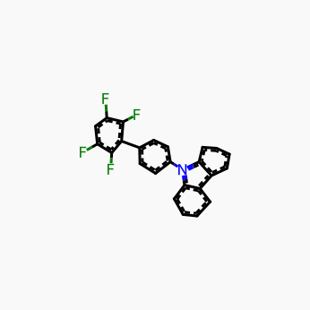 Fc1cc(F)c(F)c(-c2ccc(-n3c4ccccc4c4ccccc43)cc2)c1F